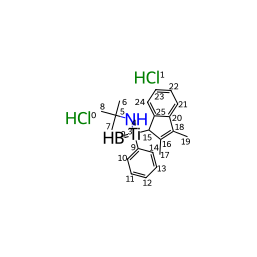 Cl.Cl.[BH]=[Ti]([NH]C(C)(C)C)([c]1ccccc1)[CH]1C(C)=C(C)c2ccccc21